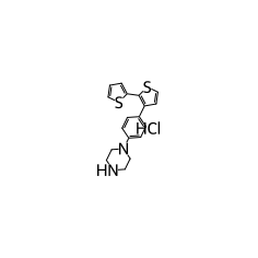 Cl.c1csc(-c2sccc2-c2ccc(N3CCNCC3)cc2)c1